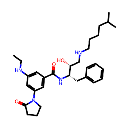 CCNc1cc(C(=O)N[C@@H](Cc2ccccc2)[C@H](O)CNCCCCC(C)C)cc(N2CCCC2=O)c1